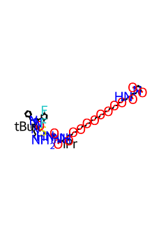 CC(C)C(NC(=O)CCOCCOCCOCCOCCOCCOCCOCCOCCNC(=O)CCN1C(=O)C=CC1=O)C(=O)NCC(=O)NCCSCC(=O)N(CCCN)[C@@H](c1nc(-c2cc(F)ccc2F)cn1Cc1ccccc1)C(C)(C)C